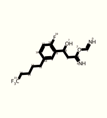 N=COC(=N)CC(O)c1cc(CCCCC(F)(F)F)ccc1F